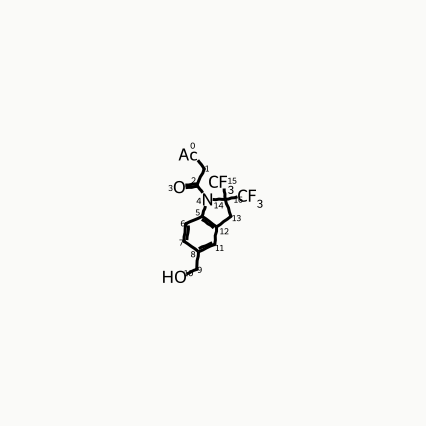 CC(=O)CC(=O)N1c2ccc(CO)cc2CC1(C(F)(F)F)C(F)(F)F